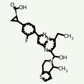 CCc1cc(C(O)N2CCc3sccc3C2C)nc2cc(-c3ccc(C4C[C@H]4C(=O)O)cc3F)nn12